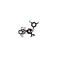 COc1cc(N2C[C@H]3CC[C@@H](C2)[C@@H]3Nc2nc(Oc3cc(F)cc(F)c3)n(C(C)C)n2)ccn1